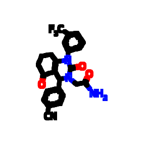 N#Cc1ccc(C2C3=C(CCCC3=O)N(c3cccc(C(F)(F)F)c3)C(=O)N2CC(N)=O)cc1